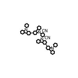 N#Cc1cc(C#N)c(-n2c3ccccc3c3cc(-c4ccc5c6ccccc6n(-c6ccccc6)c5c4)ccc32)cc1-n1c2ccccc2c2cc(-c3ccc4c5ccccc5n(-c5ccccc5)c4c3)ccc21